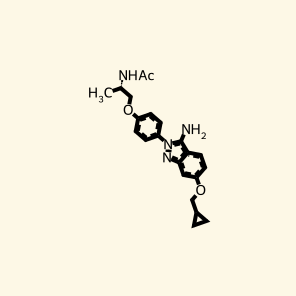 CC(=O)N[C@@H](C)COc1ccc(-n2nc3cc(OCC4CC4)ccc3c2N)cc1